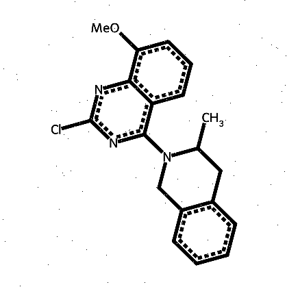 COc1cccc2c(N3Cc4ccccc4CC3C)nc(Cl)nc12